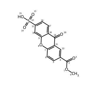 COC(=O)c1ccc2oc3cc(S(=O)(=O)O)ccc3c(=O)c2c1